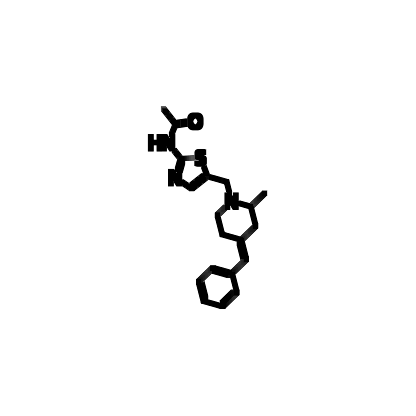 CC(=O)Nc1ncc(CN2CCC(=Cc3ccccc3)CC2C)s1